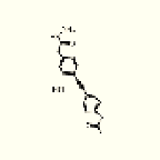 CC(=O)Nc1ccc(C#Cc2ccc(CC(=O)NN)cc2)cc1.Cl